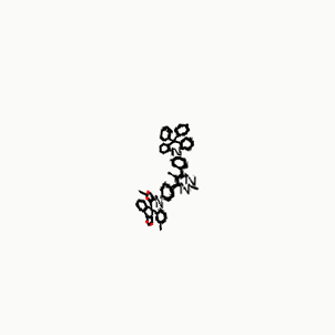 Cc1ccc2c(c1)C1(c3ccccc3-c3ccccc31)c1cc(C)ccc1N2c1ccc(-c2nc(C)nc(-c3ccc(N4c5ccccc5C(c5ccccc5)(c5ccccc5)c5ccccc54)cc3)c2C)cc1